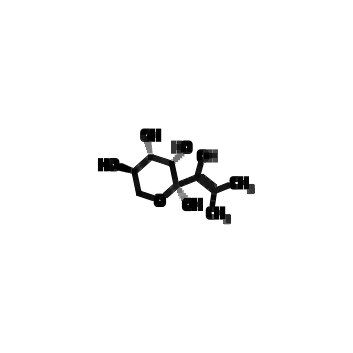 CC(C)=C(O)[C@@]1(O)OC[C@@H](O)[C@H](O)[C@@H]1O